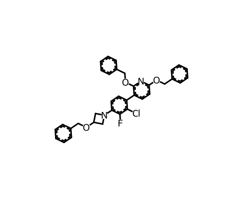 Fc1c(N2CC(OCc3ccccc3)C2)ccc(-c2ccc(OCc3ccccc3)nc2OCc2ccccc2)c1Cl